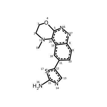 CN1CCOc2nnc3ccc(-c4cnc(N)s4)cc3c21